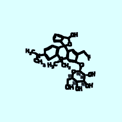 CN(C)c1ccc2c(c1)[Si](C)(C)c1cc(O[C@@H]3O[C@H](CO)[C@H](O)[C@H](O)[C@H]3O)c(CF)cc1C21OC(O)c2ccccc21